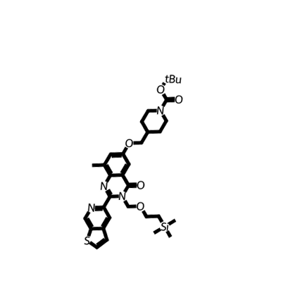 Cc1cc(OCC2CCN(C(=O)OC(C)(C)C)CC2)cc2c(=O)n(COCC[Si](C)(C)C)c(-c3cc4ccsc4cn3)nc12